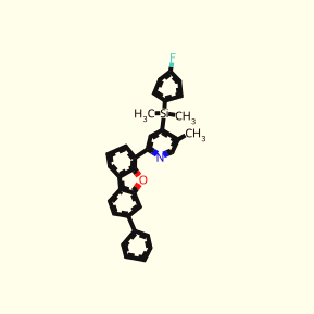 Cc1cnc(-c2cccc3c2oc2cc(-c4ccccc4)ccc23)cc1[Si](C)(C)c1ccc(F)cc1